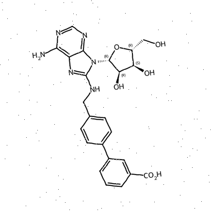 Nc1ncnc2c1nc(NCc1ccc(-c3cccc(C(=O)O)c3)cc1)n2[C@@H]1O[C@H](CO)[C@@H](O)[C@H]1O